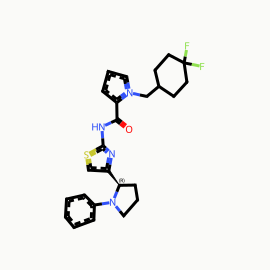 O=C(Nc1nc([C@H]2CCCN2c2ccccc2)cs1)c1cccn1CC1CCC(F)(F)CC1